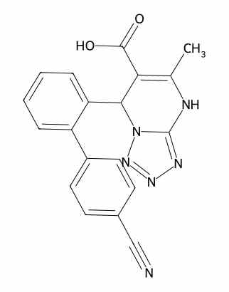 CC1=C(C(=O)O)C(c2ccccc2-c2ccc(C#N)cc2)n2nnnc2N1